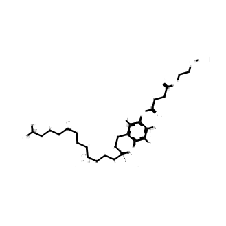 COCCOC(=O)CCC(=O)Oc1c(C)c(C)c2c(c1C)CC[C@@](C)(CCC[C@H](C)CCC[C@H](C)CCCC(C)C)O2